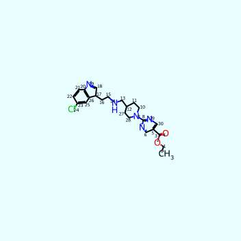 CCOC(=O)c1cnc(N2CCC(CNCCC3C=Nc4ccc(Cl)cc43)CC2)nc1